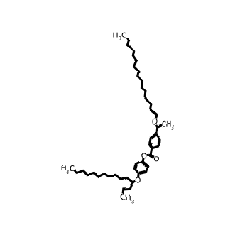 CCCCCCCCCCCCCCCCOC(C)c1ccc(C(=O)Oc2ccc(OC(CCC)CCCCCCCCCCC)cc2)cc1